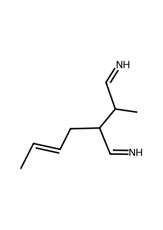 CC=CCC(C=N)C(C)C=N